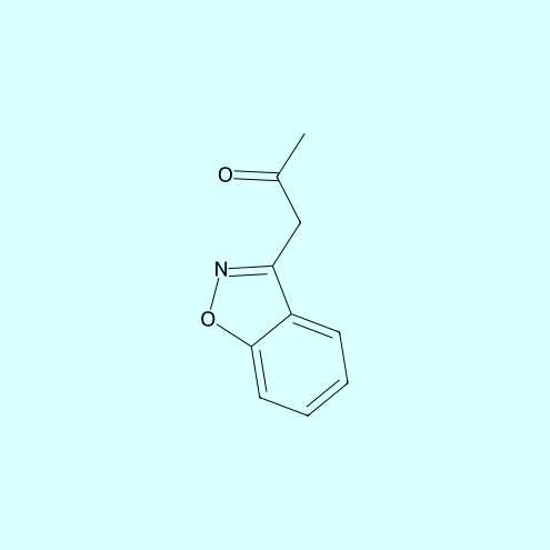 CC(=O)Cc1noc2ccccc12